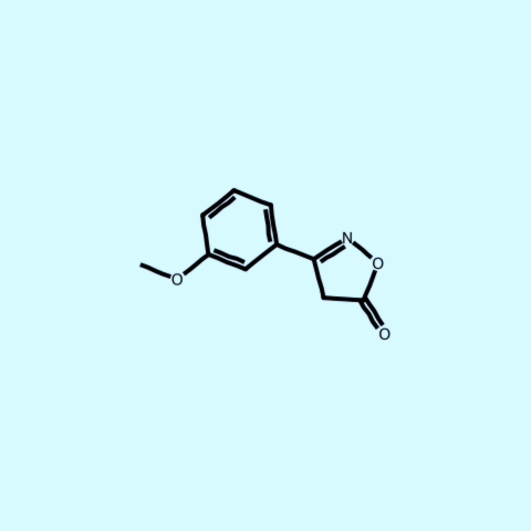 COc1cccc(C2=NOC(=O)C2)c1